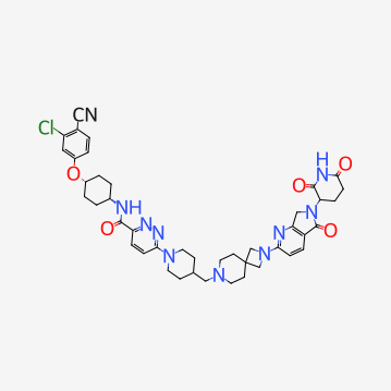 N#Cc1ccc(O[C@H]2CC[C@H](NC(=O)c3ccc(N4CCC(CN5CCC6(CC5)CN(c5ccc7c(n5)CN(C5CCC(=O)NC5=O)C7=O)C6)CC4)nn3)CC2)cc1Cl